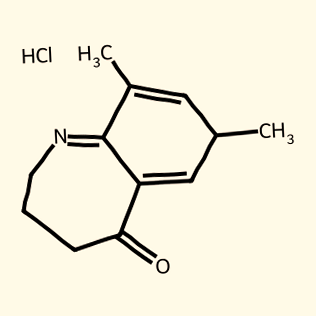 CC1=CC(C)C=C2C(=O)CCCN=C12.Cl